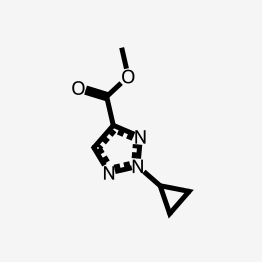 COC(=O)c1cnn(C2CC2)n1